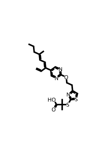 C=C/C(=C\C=C(/C)CCC)c1cnc(OCCc2csc(SC(C)(C)C(=O)O)n2)nc1